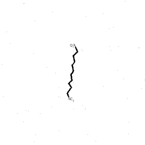 O=[N+]([O-])CCCCCCCCCC[N+](=O)[O-]